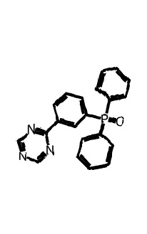 O=P(c1ccccc1)(c1ccccc1)c1cccc(-c2ncncn2)c1